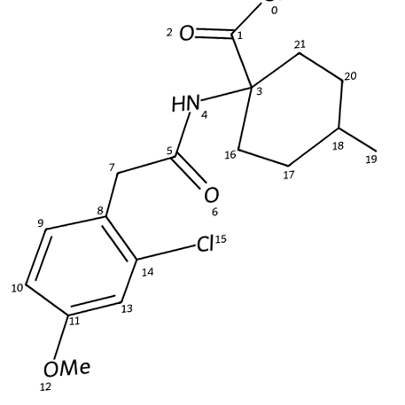 COC(=O)C1(NC(=O)Cc2ccc(OC)cc2Cl)CCC(C)CC1